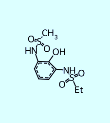 CCS(=O)(=O)Nc1cccc(NS(C)(=O)=O)c1O